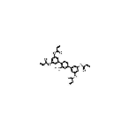 C=CC(=O)Oc1cc(OC(=O)C=C)cc(-c2ccc(-c3cc(OC(=O)C=C)cc(OC(=O)C=C)c3)c(C(F)(F)F)c2)c1